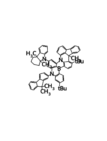 CC(C)(C)c1ccc2c(c1)N(c1ccc3c(c1)C(C)(C)c1ccccc1-3)c1cc(N3c4ccccc4C4(C)CCCCC34C)cc3c1B2c1ccc(C(C)(C)C)c2c1N3c1cccc3c1C2(C)c1ccccc1-3